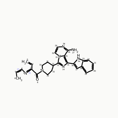 C=C/C(=N\C=C/C)C(=O)N1CCC(c2nc(-c3cc4ccccc4[nH]3)c3c(N)nccn23)CC1